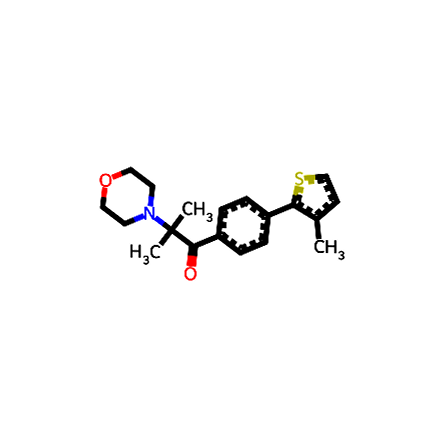 Cc1ccsc1-c1ccc(C(=O)C(C)(C)N2CCOCC2)cc1